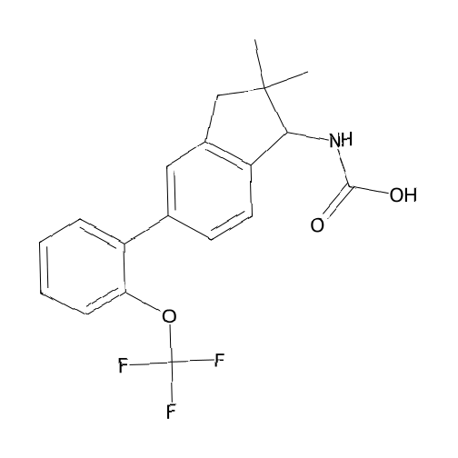 CC1(C)Cc2cc(-c3ccccc3OC(F)(F)F)ccc2C1NC(=O)O